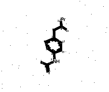 C=C(C)Nc1ccc(CC(C)C(C)C)cc1